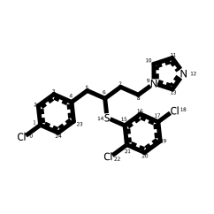 Clc1ccc(CC(CCn2ccnc2)Sc2cc(Cl)ccc2Cl)cc1